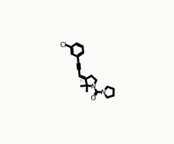 CC1(C)/C(=C/C#Cc2cccc(Cl)c2)CCN1C(=O)N1CCCC1